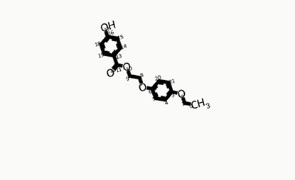 CCOc1ccc(OCCOC(=O)c2ccc(O)cc2)cc1